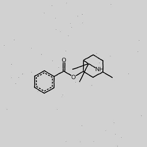 CC12CCC(C(OC(=O)c3ccccc3)C1)C(C)(C)N2